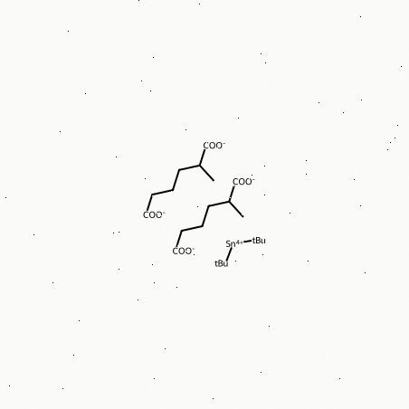 CC(CCCC(=O)[O-])C(=O)[O-].CC(CCCC(=O)[O-])C(=O)[O-].C[C](C)(C)[Sn+4][C](C)(C)C